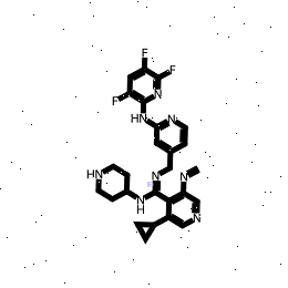 C=Nc1cncc(C2CC2)c1/C(=N\Cc1ccnc(Nc2nc(F)c(F)cc2F)c1)NC1CCNCC1